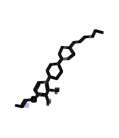 C/C=C/Oc1ccc(C2CCC(C3CCC(CCCCCC)CC3)CC2)c(F)c1F